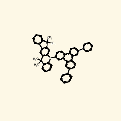 CC1(C)c2ccccc2-c2cc3c(cc21)N(c1ccc2c4ccc(-c5ccccc5)cc4c4ccc(-c5ccccc5)cc4c2c1)c1ccccc1C3(C)C